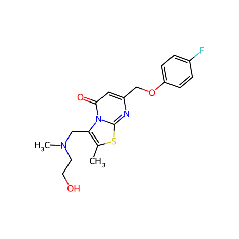 Cc1sc2nc(COc3ccc(F)cc3)cc(=O)n2c1CN(C)CCO